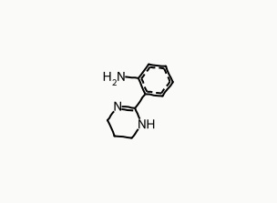 Nc1ccccc1C1=NCCCN1